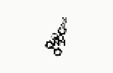 N#CN1CCC(OC(=O)Nc2ccccc2-c2ccccc2)CC1